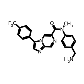 CN(C(=O)c1cn2c(-c3ccc(C(F)(F)F)cc3)cnc2cn1)c1ccc(CN)cc1